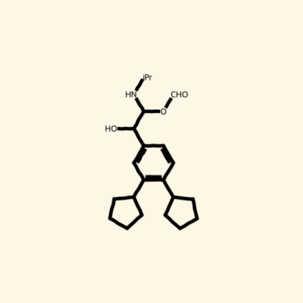 CC(C)NC(OC=O)C(O)c1ccc(C2CCCC2)c(C2CCCC2)c1